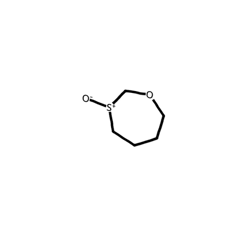 [O-][S+]1CCCCOC1